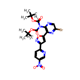 CC(C)(C)OC(=O)N(C(=O)OC(C)(C)C)c1ncc(Br)nc1-c1cc(-c2ccc([N+](=O)[O-])cn2)no1